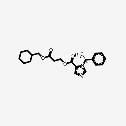 C[C@H](c1ccccc1)n1cncc1C(=O)OCCC(=O)OCC1CCCCC1